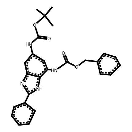 CC(C)(C)OC(=O)Nc1cc(NC(=O)OCc2ccccc2)c2[nH]c(-c3ccccc3)nc2c1